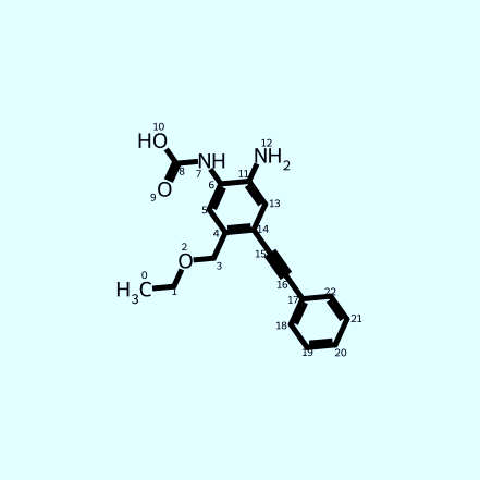 CCOCc1cc(NC(=O)O)c(N)cc1C#Cc1ccccc1